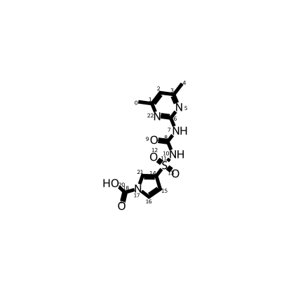 Cc1cc(C)nc(NC(=O)NS(=O)(=O)c2ccn(C(=O)O)c2)n1